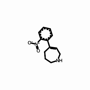 O=[N+]([O-])c1ccccc1C1=CCNCCC1